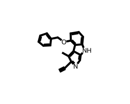 C#Cc1ncc2[nH]c3cccc(OCc4ccccc4)c3c2c1C